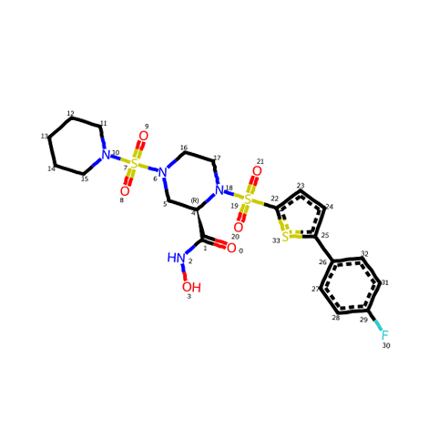 O=C(NO)[C@H]1CN(S(=O)(=O)N2CCCCC2)CCN1S(=O)(=O)c1ccc(-c2ccc(F)cc2)s1